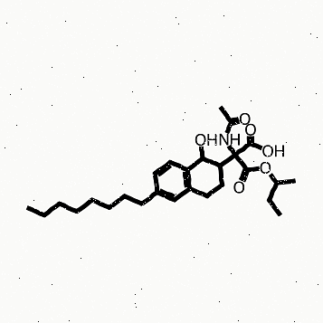 CCCCCCCCc1ccc2c(c1)CCC(C(NC(C)=O)(C(=O)O)C(=O)OC(C)CC)C2O